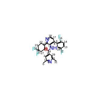 Cc1cc(C(=O)Nc2c(-c3cc(F)ccc3F)ccnc2C2CCC(F)(F)CC2)cc(C)n1